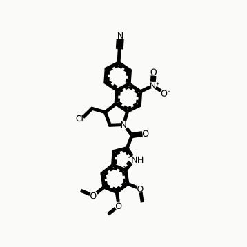 COc1cc2cc(C(=O)N3CC(CCl)c4c3cc([N+](=O)[O-])c3cc(C#N)ccc43)[nH]c2c(OC)c1OC